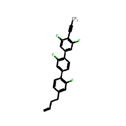 C=CCCc1ccc(-c2ccc(-c3cc(F)c(C#CC(F)(F)F)c(F)c3)c(F)c2)c(F)c1